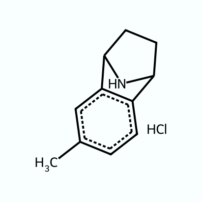 Cc1ccc2c(c1)C1CCC2N1.Cl